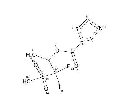 CC(OC(=O)c1cncs1)C(F)(F)S(=O)(=O)O